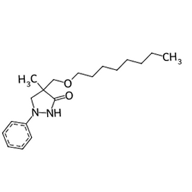 CCCCCCCCOCC1(C)CN(c2ccccc2)NC1=O